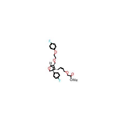 COC(=O)COC/C=C\C[C@H]1[C@H](COCCOc2ccc(F)cc2)[C@@H]2C[C@@]1(c1ccc(F)cc1)CO2